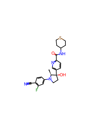 C[C@@H]1N(c2ccc(C#N)c(F)c2)CC[C@@]1(O)c1ccc(C(=O)NC2CCSCC2)nc1